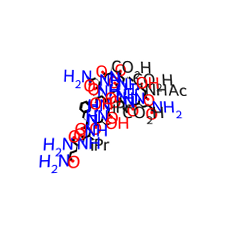 CC(=O)N[C@H](C(=O)N[C@@H](CCC(N)=O)C(=O)N[C@@H](CC(=O)O)C(=O)N[C@@H](C)C(=O)N[C@@H](CCC(=O)O)C(=O)N[C@@H](CC(=O)O)C(=O)N[C@@H](CC(N)=O)C(=O)N[C@H](C(=O)N[C@H](C(=O)N[C@@H](CO)C(=O)N[C@@H](Cc1ccccc1)C(=O)N[C@@H](CC(C)C)C(=O)N[C@@H](CCC(N)=O)C(N)=O)C(C)C)[C@@H](C)O)[C@@H](C)O